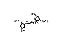 CO[C@H]1CN(C(C)C)C[C@@]1(C)OCCO[C@H]1CN(C(C)C)C[C@H]1OC